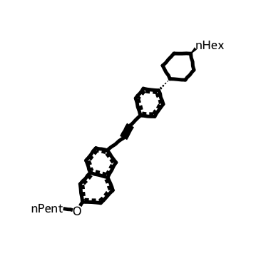 CCCCCC[C@H]1CC[C@H](c2ccc(C#Cc3ccc4cc(OCCCCC)ccc4c3)cc2)CC1